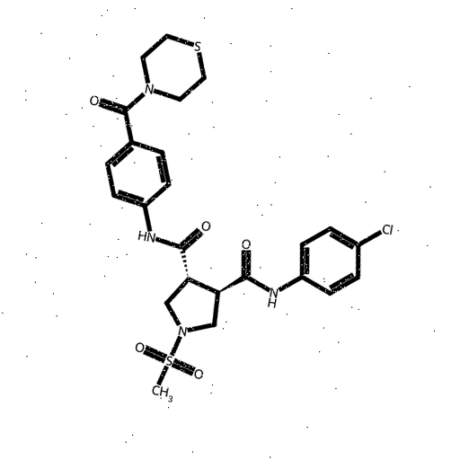 CS(=O)(=O)N1C[C@H](C(=O)Nc2ccc(Cl)cc2)[C@@H](C(=O)Nc2ccc(C(=O)N3CCSCC3)cc2)C1